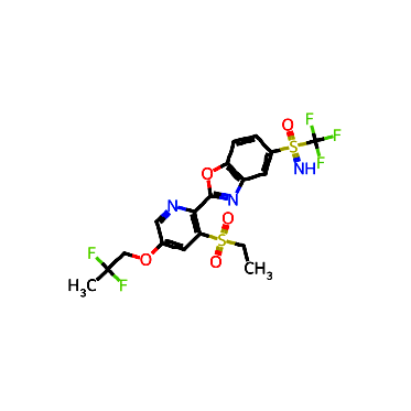 CCS(=O)(=O)c1cc(OCC(C)(F)F)cnc1-c1nc2cc(S(=N)(=O)C(F)(F)F)ccc2o1